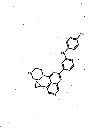 N#Cc1ccc(Nc2cc(-c3nc(N4CCNCC4)c4c(C5CC5)cncc4n3)ccn2)cc1